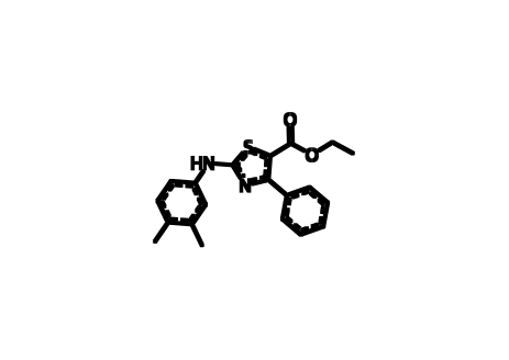 CCOC(=O)c1sc(Nc2ccc(C)c(C)c2)nc1-c1ccccc1